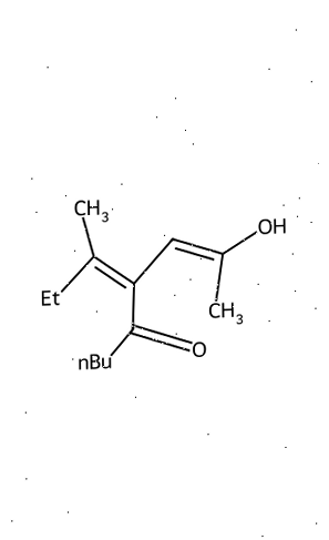 CCCCC(=O)C(/C=C(\C)O)=C(/C)CC